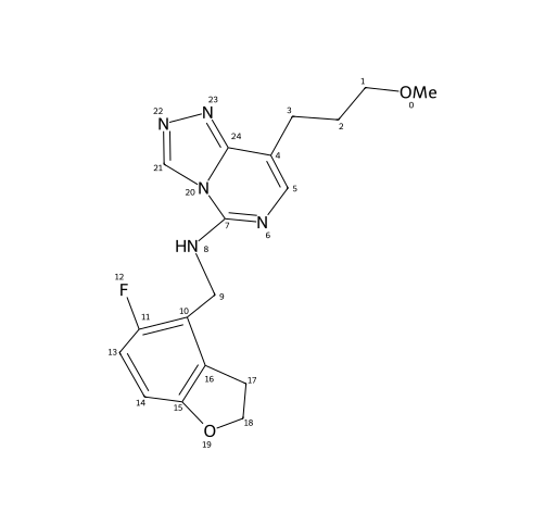 COCCCc1cnc(NCc2c(F)ccc3c2CCO3)n2cnnc12